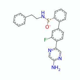 Nc1cnc(-c2ccc(-c3ccccc3[S+]([O-])NCCc3ccccc3)cc2F)cn1